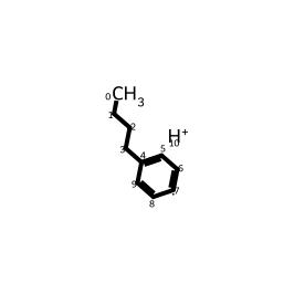 CCCCc1cc[c]cc1.[H+]